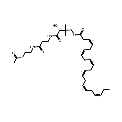 CC/C=C\C/C=C\C/C=C\C/C=C\C/C=C\C/C=C\CC(=O)OCC(C)(C)[C@@H](O)C(=O)NCCC(=O)NCCSC(C)=O